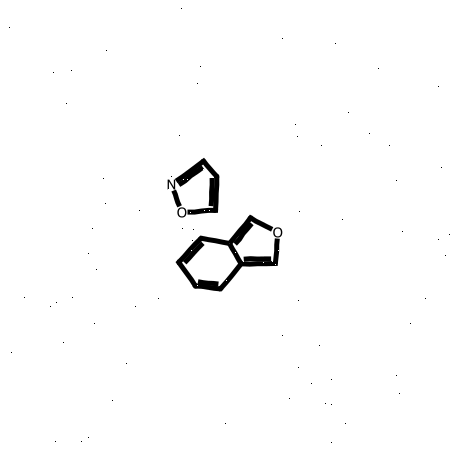 c1ccc2cocc2c1.c1cnoc1